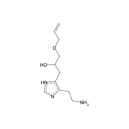 C=CCOCC(O)Cc1[nH]cnc1CCN